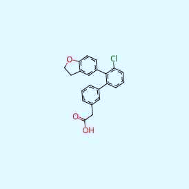 O=C(O)Cc1cccc(-c2cccc(Cl)c2-c2ccc3c(c2)CCO3)c1